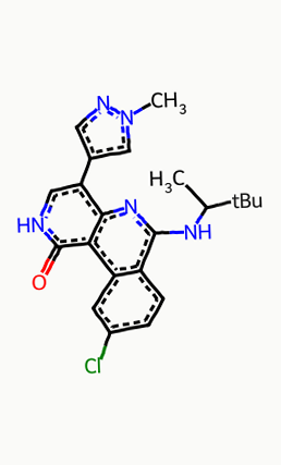 CC(Nc1nc2c(-c3cnn(C)c3)c[nH]c(=O)c2c2cc(Cl)ccc12)C(C)(C)C